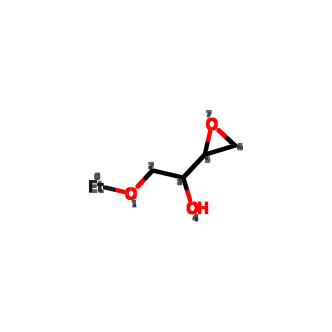 CCOCC(O)C1CO1